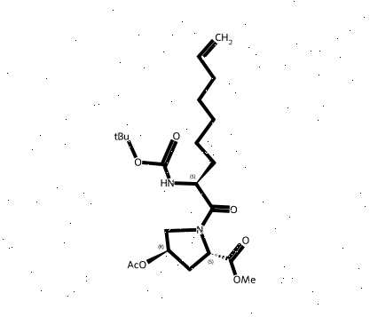 C=CCCCCC[C@H](NC(=O)OC(C)(C)C)C(=O)N1C[C@H](OC(C)=O)C[C@H]1C(=O)OC